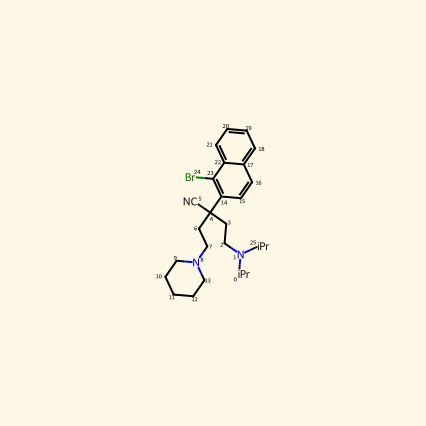 CC(C)N(CCC(C#N)(CCN1CCCCC1)c1ccc2ccccc2c1Br)C(C)C